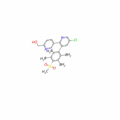 Bc1c(B)c(S(C)(=O)=O)c(B)c(B)c1-c1cc(Cl)cnc1-c1ccc(CO)nc1